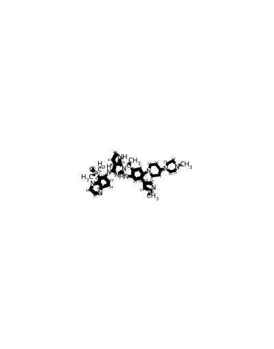 COc1cc(N2CCC(N3CCN(C)CC3)CC2)c(-c2cnn(C)c2)cc1Nc1nc(Nc2ccc3nccnc3c2P(C)(C)=O)c2cc[nH]c2n1